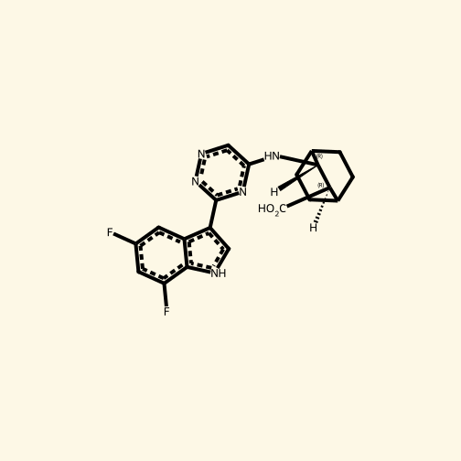 O=C(O)[C@@H]1C2CCC(CC2)[C@H]1Nc1cnnc(-c2c[nH]c3c(F)cc(F)cc23)n1